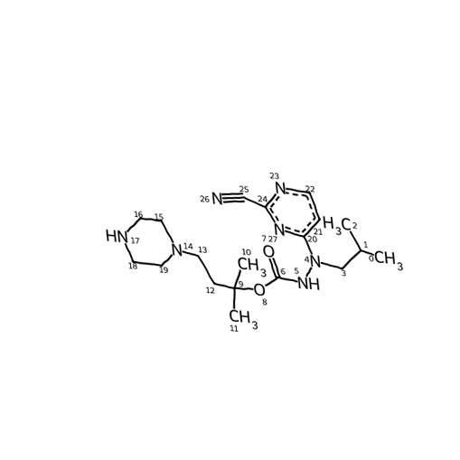 CC(C)CN(NC(=O)OC(C)(C)CCN1CCNCC1)c1ccnc(C#N)n1